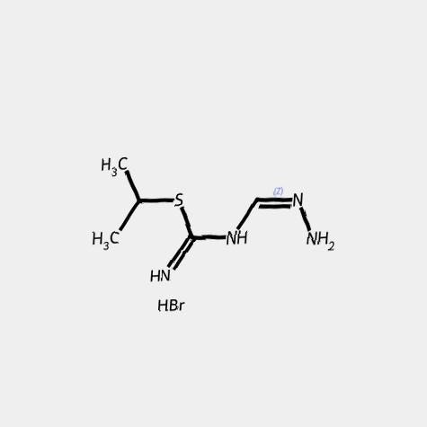 Br.CC(C)SC(=N)N/C=N\N